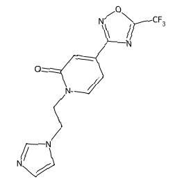 O=c1cc(-c2noc(C(F)(F)F)n2)ccn1CCn1ccnc1